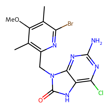 COc1c(C)c(Br)nc(Cn2c(=O)[nH]c3c(Cl)nc(N)nc32)c1C